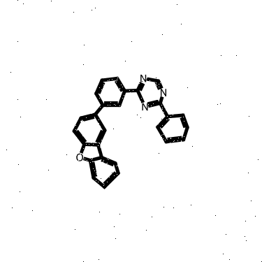 c1ccc(-c2ncnc(-c3cccc(-c4ccc5oc6ccccc6c5c4)c3)n2)cc1